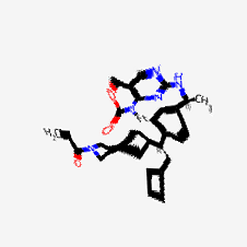 C=CC(=O)N1CC2(CC([C@@H](CC3CCC3)c3ccc([C@H](C)Nc4ncc5c(n4)N(CC)C(=O)OC5)cc3)C2)C1